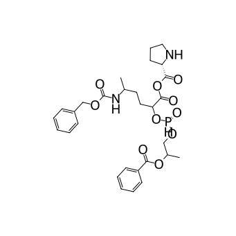 CC(CCC(O[PH](=O)OCC(C)OC(=O)c1ccccc1)C(=O)OC(=O)[C@@H]1CCCN1)NC(=O)OCc1ccccc1